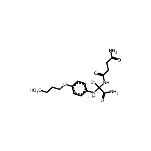 CCC(NC(=O)CCC(N)=O)(Nc1ccc(OCCCC(=O)O)cc1)C(N)=O